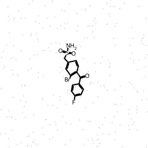 NS(=O)(=O)Cc1ccc(C(=O)c2ccc(F)cc2)c(Br)c1